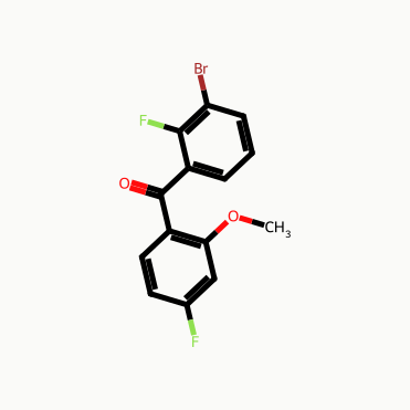 COc1cc(F)ccc1C(=O)c1cccc(Br)c1F